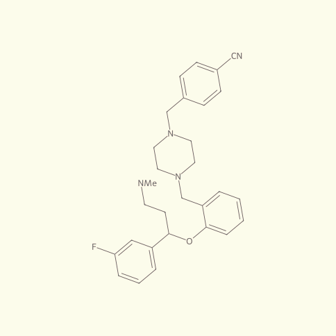 CNCCC(Oc1ccccc1CN1CCN(Cc2ccc(C#N)cc2)CC1)c1cccc(F)c1